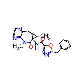 CN1C(=O)C2(NC(=O)c3nnc(Cc4ccccc4)o3)C3C(c4nccnc41)C32C